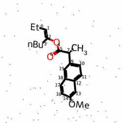 CC/C=C(\CCCC)OC(=O)[C@@H](C)c1ccc2cc(OC)ccc2c1